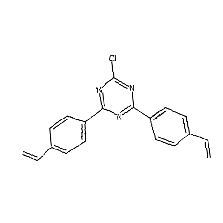 C=Cc1ccc(-c2nc(Cl)nc(-c3ccc(C=C)cc3)n2)cc1